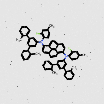 Cc1ccc(N(c2cc(-c3ccccc3C)cc(-c3ccccc3C)c2)c2ccc3ccc4c(N(c5cc(-c6ccccc6C)cc(-c6ccccc6C)c5)c5ccc(C)cc5F)ccc5ccc2c3c54)c(F)c1